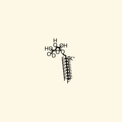 O=C([O-])[C@@H](O)[C@H]1O[C@@H](OCCC(F)(F)C(F)(F)C(F)(F)C(F)(F)C(F)(F)C(F)(F)C(F)(F)C(F)(F)F)[C@H](O)[C@H]1O.[K+]